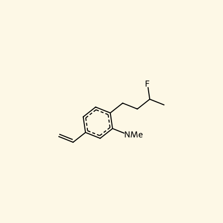 C=Cc1ccc(CCC(C)F)c(NC)c1